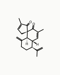 C=C(C)[C@H]1CCC(=C)[C@@H]2[C@@H]1C=C(C)C(=O)[C@]21CC=C(C)C1=O